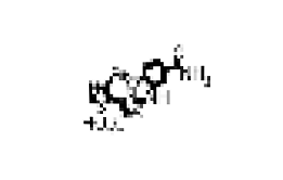 Cc1ncsc1-c1nc(Nc2cc(C(N)=O)ccc2OC(C)C)sc1C(=O)O